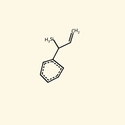 C=CC([SiH3])c1ccccc1